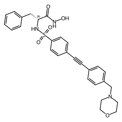 O=C(NO)[C@@H](Cc1ccccc1)NS(=O)(=O)c1ccc(C#Cc2ccc(CN3CCOCC3)cc2)cc1